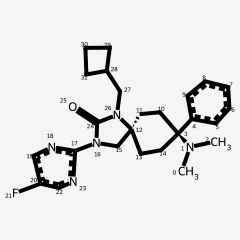 CN(C)[C@]1(c2ccccc2)CC[C@]2(CC1)CN(c1ncc(F)cn1)C(=O)N2CC1CCC1